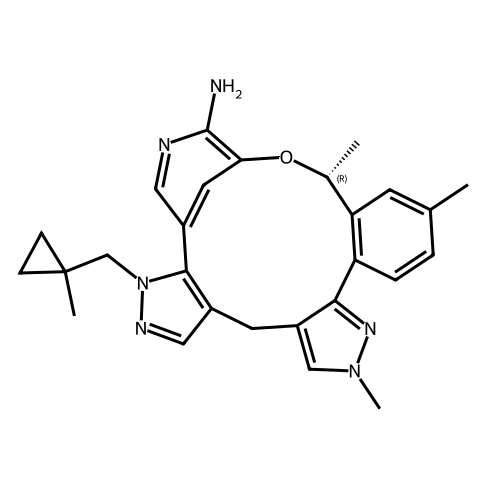 Cc1ccc2c(c1)[C@@H](C)Oc1cc(cnc1N)-c1c(cnn1CC1(C)CC1)Cc1cn(C)nc1-2